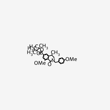 COc1ccc(CN2CC(C)c3cc(B4OC(C)(C)C(C)(C)O4)cc(OC)c3C2=O)cc1